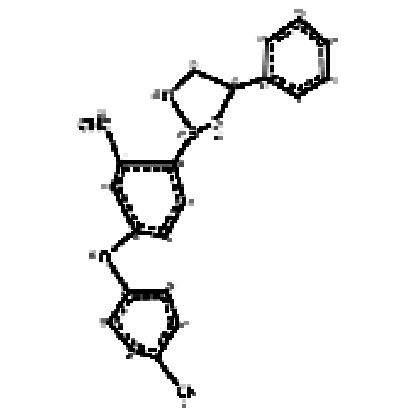 N#Cc1ccc(Oc2ccc(B3OCC(c4ccccc4)O3)c(C=O)c2)cc1